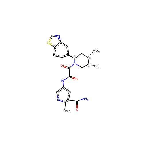 COc1ncc(NC(=O)C(=O)N2C[C@@H](C)[C@@H](OC)C[C@@H]2c2ccc3scnc3c2)cc1C(N)=O